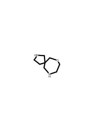 C1COCC2(CCNC2)CN1